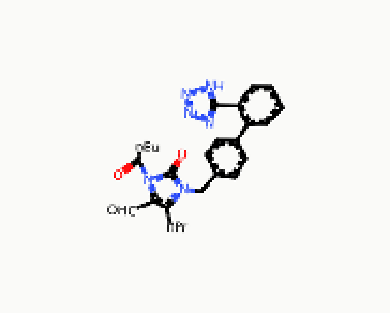 CCCCC(=O)n1c(C=O)c(CCC)n(Cc2ccc(-c3ccccc3-c3nnn[nH]3)cc2)c1=O